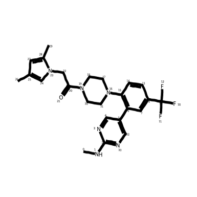 CNc1ncc(-c2cc(C(F)(F)F)ccc2N2CCN(C(=O)Cn3cc(C)cc3C)CC2)cn1